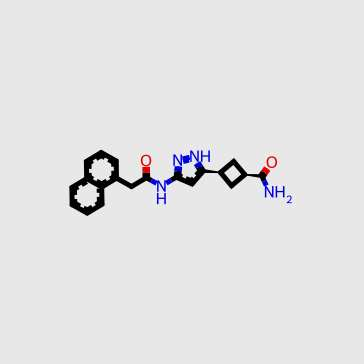 NC(=O)[C@H]1C[C@@H](c2cc(NC(=O)Cc3cccc4ccccc34)n[nH]2)C1